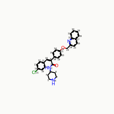 O=C(NC1CCNCC1)C(=Cc1ccc(Cl)cc1)c1ccc(OCc2ccc3ccccc3n2)cc1